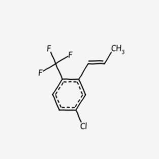 C/C=C/c1cc(Cl)ccc1C(F)(F)F